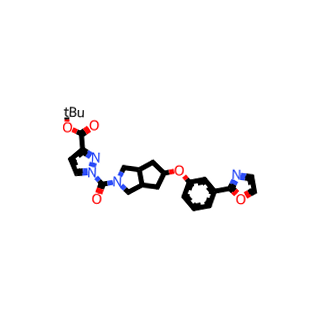 CC(C)(C)OC(=O)c1ccn(C(=O)N2CC3CC(Oc4cccc(-c5ncco5)c4)CC3C2)n1